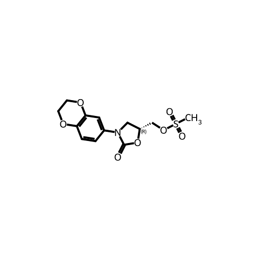 CS(=O)(=O)OC[C@H]1CN(c2ccc3c(c2)OCCO3)C(=O)O1